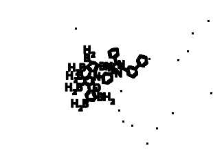 Bc1cc(B)c2oc3c(c(B)c(B)c4c5c(B)c(B)cc(B)c5n(-c5cccc(-c6nc(-c7ccccc7)nc(-c7cccc(-c8ccccc8)c7)n6)c5)c34)c2c1